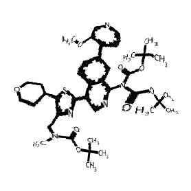 COc1cnccc1-c1ccc2c(-c3nc(CN(C)C(=O)OC(C)(C)C)c(C4CCOCC4)s3)cnc(N(C(=O)OC(C)(C)C)C(=O)OC(C)(C)C)c2c1